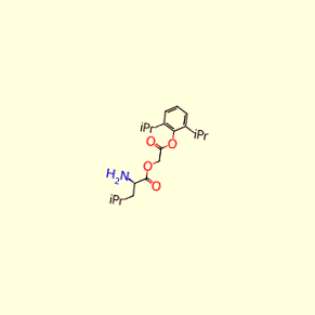 CC(C)C[C@@H](N)C(=O)OCC(=O)Oc1c(C(C)C)cccc1C(C)C